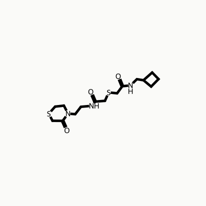 O=C(CSCC(=O)NCC1CCC1)NCCN1CCSCC1=O